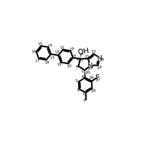 Cc1ccc([C@H]2C[C@@](O)(c3ccc(-c4ccccc4)cc3)c3cncn32)c(F)c1